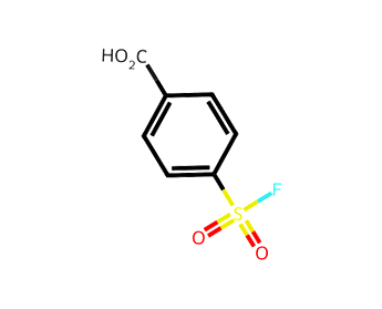 O=C(O)c1ccc(S(=O)(=O)F)cc1